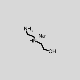 NCCNCCO.[Na]